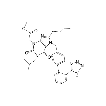 CCCCc1nc2c(c(=O)n(CC(C)C)c(=O)n2CC(=O)OC)n1Cc1ccc(-c2ccccc2-c2nnn[nH]2)cc1